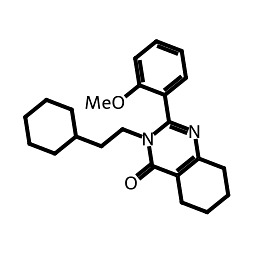 COc1ccccc1-c1nc2c(c(=O)n1CCC1CCCCC1)CCCC2